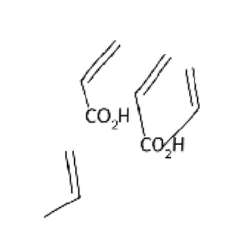 C=CC.C=CC.C=CC(=O)O.C=CC(=O)O